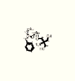 CC(C)(C)OP(Oc1ccccc1)OC(C)(C)C.NC(CO)(CO)CO